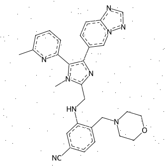 Cc1cccc(-c2c(-c3ccc4ncnn4c3)nc(CNc3cc(C#N)ccc3CN3CCOCC3)n2C)n1